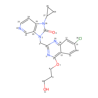 O=c1n(Cc2nc(OCCCO)c3ccc(Cl)cc3n2)c2cnccc2n1C1CC1